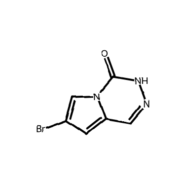 O=c1[nH]ncc2cc(Br)cn12